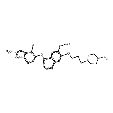 COc1cc2c(Oc3ccc4[nH]c(C)cc4c3F)cnnc2cc1OCCCN1CCN(C)CC1